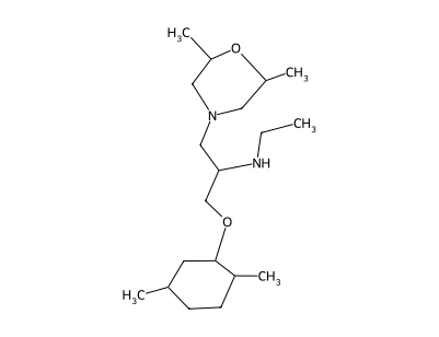 CCNC(COC1CC(C)CCC1C)CN1CC(C)OC(C)C1